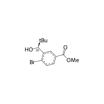 COC(=O)c1ccc(Br)c([C@@H](O)C(C)(C)C)c1